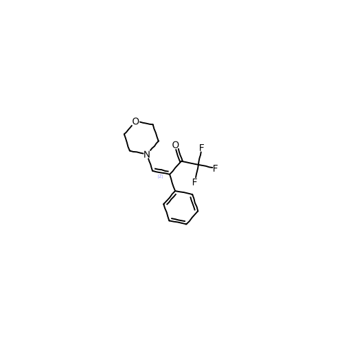 O=C(/C(=C\N1CCOCC1)c1ccccc1)C(F)(F)F